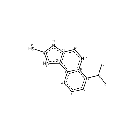 CC(C)c1cccc2c1ncc1nc(S)[nH]c12